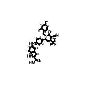 Cc1ccc(Cn2c(-c3ccc(Nc4ccc5[nH]c(C(=O)O)cc5c4)cc3)cc(C(F)(F)F)c(C#N)c2=O)c(C)c1